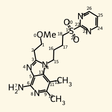 COCCc1nc2c(N)nc(C)c(C)c2n1CCCCS(=O)(=O)c1ncccn1